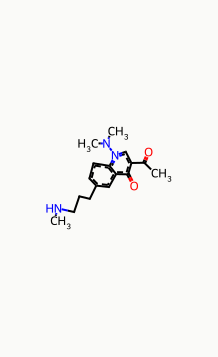 CNCCCc1ccc2c(c1)c(=O)c(C(C)=O)cn2N(C)C